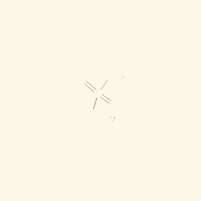 O=S(=O)([O-])[O-].[H+].[Mn+2]